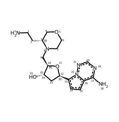 NCC[C@@H]1COCCN1C[C@H]1O[C@@H](c2ccc3c(N)ncnn23)C[C@@H]1O